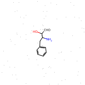 NC(Cc1ccccc1)C(O)C=O